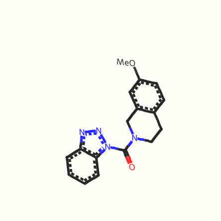 COc1ccc2c(c1)CN(C(=O)n1nnc3ccccc31)CC2